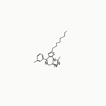 CCCCCCCCc1cc2c(s1)-n1c(C)nnc1CN=C2c1cccc(C)c1